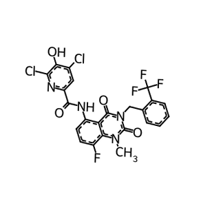 Cn1c(=O)n(Cc2ccccc2C(F)(F)F)c(=O)c2c(NC(=O)c3cc(Cl)c(O)c(Cl)n3)ccc(F)c21